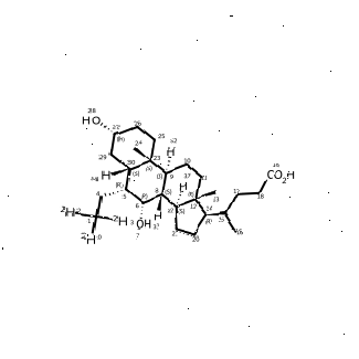 [2H]C([2H])([2H])C[C@H]1[C@@H](O)[C@@H]2[C@H](CC[C@]3(C)[C@@H](C(C)CCC(=O)O)CC[C@@H]23)[C@@]2(C)CC[C@@H](O)C[C@@H]12